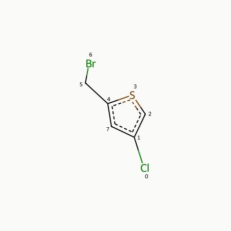 Clc1csc(CBr)c1